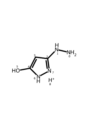 NNc1cc(O)[nH]n1.[H+]